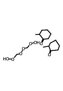 CC1CCCCC1=O.CC1CCCCC1=O.OOCOOCOO